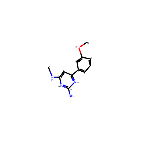 CNc1cc(-c2cccc(OC)c2)nc(N)n1